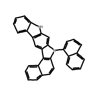 c1ccc2c(-n3c4cc5[nH]c6ccccc6c5cc4c4c5ccccc5ccc43)cccc2c1